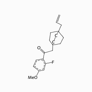 C=CCC12CCC(CC(=O)c3ccc(OC)cc3F)(CC1)CC2